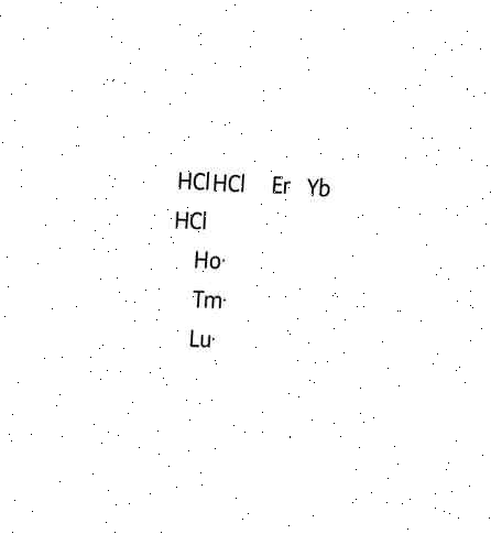 Cl.Cl.Cl.[Er].[Ho].[Lu].[Tm].[Yb]